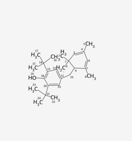 [CH2]C1(C)C=C(C)C=C(C)C1Cc1cc(C(C)(C)C)c(O)c(C(C)(C)C)c1